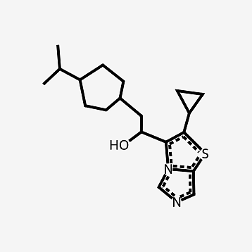 CC(C)C1CCC(CC(O)c2c(C3CC3)sc3cncn23)CC1